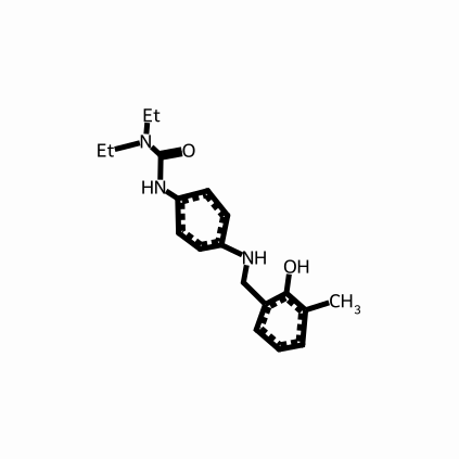 CCN(CC)C(=O)Nc1ccc(NCc2cccc(C)c2O)cc1